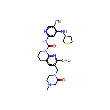 CN1CCN(Cc2cc3c(nc2C=O)N(C(=O)Nc2cc(NC4CCSC4)c(C#N)cn2)CCC3)C(=O)C1